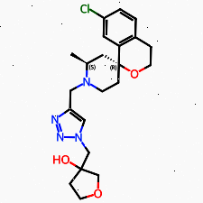 C[C@H]1C[C@@]2(CCN1Cc1cn(CC3(O)CCOC3)nn1)OCCc1ccc(Cl)cc12